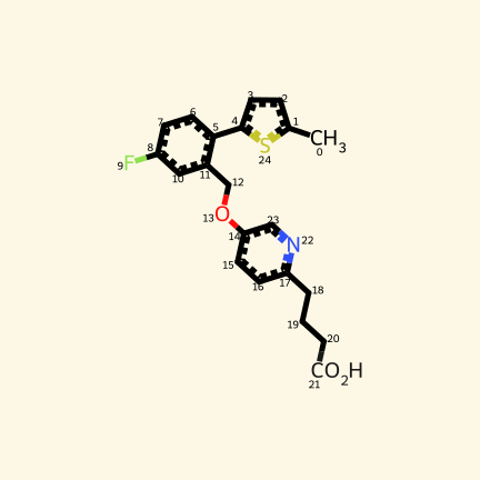 Cc1ccc(-c2ccc(F)cc2COc2ccc(CCCC(=O)O)nc2)s1